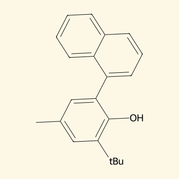 Cc1cc(-c2cccc3ccccc23)c(O)c(C(C)(C)C)c1